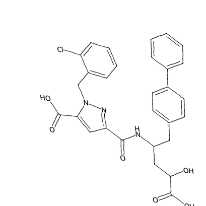 O=C(NC(Cc1ccc(-c2ccccc2)cc1)CC(O)C(=O)O)c1cc(C(=O)O)n(Cc2ccccc2Cl)n1